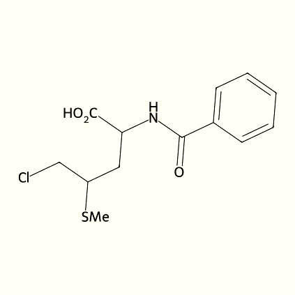 CSC(CCl)CC(NC(=O)c1ccccc1)C(=O)O